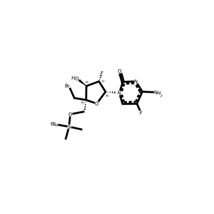 CC(C)(C)[Si](C)(C)OC[C@@]1(CBr)O[C@@H](n2cc(F)c(N)nc2=O)[C@@H](F)[C@@H]1O